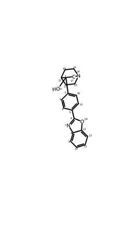 OC1(c2ccc(-c3nc4ccccc4o3)cc2)CN2CCC1CC2